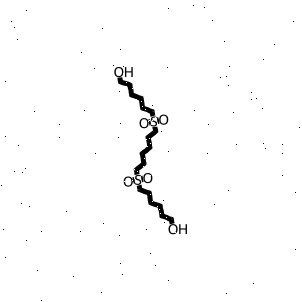 O=S(=O)(CCCCCCO)CCCCCCS(=O)(=O)CCCCCCO